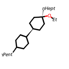 CCCCCCC[C@]1(OCC)CC[C@@H](C2CCC(CCCCC)CC2)CC1